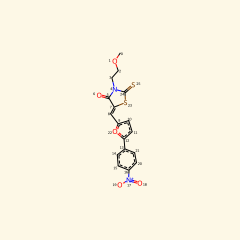 COCCN1C(=O)C(=Cc2ccc(-c3ccc([N+](=O)[O-])cc3)o2)SC1=S